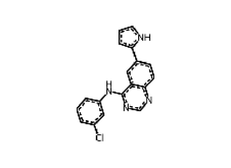 Clc1cccc(Nc2ncnc3ccc(-c4ccc[nH]4)cc23)c1